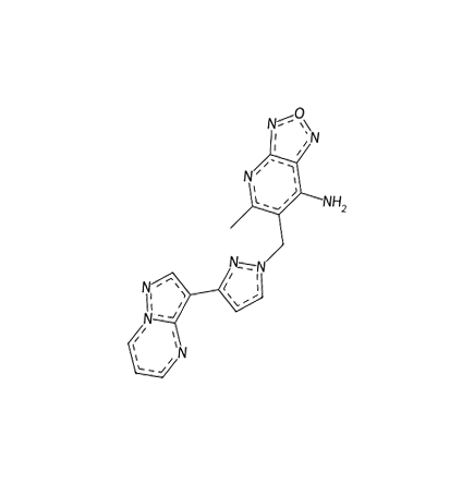 Cc1nc2nonc2c(N)c1Cn1ccc(-c2cnn3cccnc23)n1